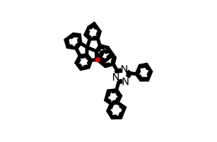 c1ccc(-c2nc(-c3cccc(-c4cccc5c4C4(c6ccccc6-c6ccccc64)c4ccccc4-5)c3)nc(-c3ccc4ccccc4c3)n2)cc1